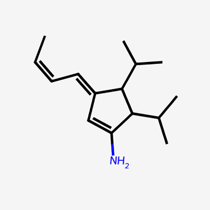 C/C=C\C=C1/C=C(N)C(C(C)C)C1C(C)C